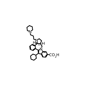 O=C(O)c1ccc2c(C3CCCCC3)c3n(c2c1)C[C@@H]1CCN(CCCN2CCCCC2)[C@H]1c1ccccc1-3